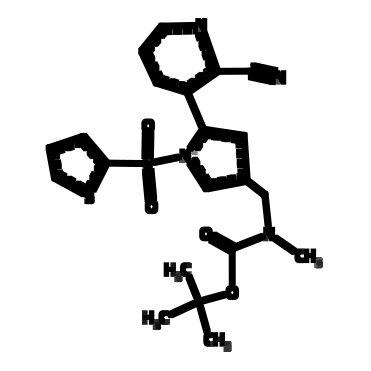 CN(Cc1cc(-c2cccnc2C#N)n(S(=O)(=O)c2cccs2)c1)C(=O)OC(C)(C)C